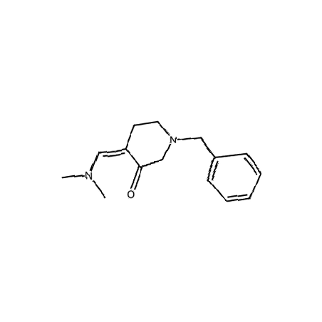 CN(C)/C=C1/CCN(Cc2ccccc2)CC1=O